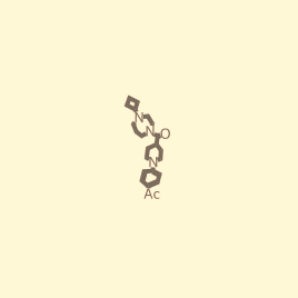 CC(=O)c1ccc(N2CCC(C(=O)N3CCCN(C4CCC4)CC3)CC2)cc1